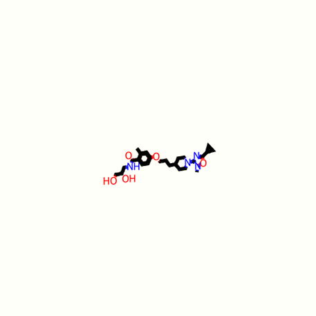 Cc1cc(OCCCC2CCN(C3N=C(C4CC4)ON3C)CC2)ccc1C(=O)NC[C@H](O)CO